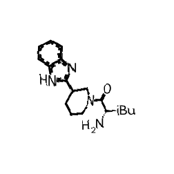 CC[C@H](C)[C@H](N)C(=O)N1CCCC(c2nc3ccccc3[nH]2)C1